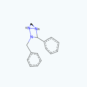 c1ccc(CN2C(c3ccccc3)[N@]3C[N@]23)cc1